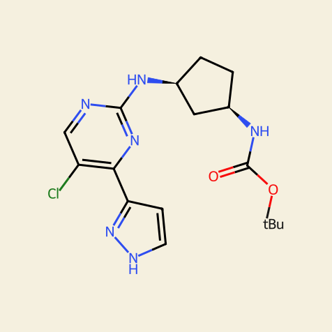 CC(C)(C)OC(=O)N[C@@H]1CC[C@H](Nc2ncc(Cl)c(-c3cc[nH]n3)n2)C1